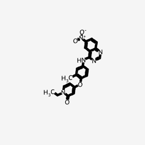 CCn1ccc(Oc2ccc(Nc3ncnc4ccc([N+](=O)[O-])cc34)cc2C)cc1=O